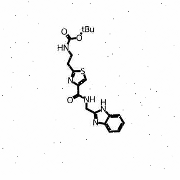 CC(C)(C)OC(=O)NCCc1nc(C(=O)NCc2nc3ccccc3[nH]2)cs1